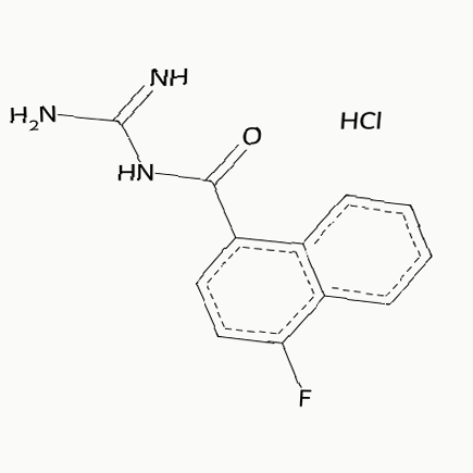 Cl.N=C(N)NC(=O)c1ccc(F)c2ccccc12